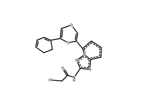 O=C(CCl)Nc1nc2cccc(C3=COC=C(C4=CC=CCC4)O3)n2n1